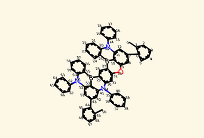 Cc1ccccc1-c1cc2c3c(c1)N(c1ccccc1)c1ccccc1B3c1cc3c(cc1O2)N(c1ccccc1)c1cc(-c2ccccc2C)cc2c1B3c1ccccc1N2c1ccccc1